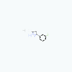 CC1CC(c2cccc(F)c2)N1